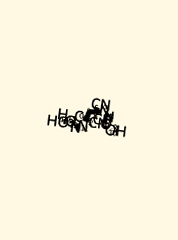 CC(C#N)(CC(C)(C#N)/N=N\OO)/N=N\OO